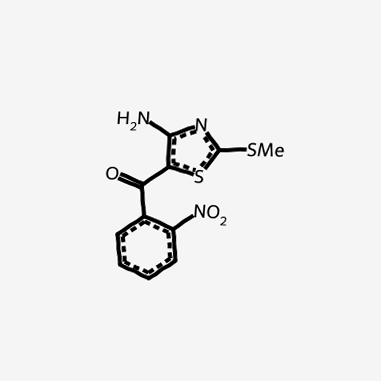 CSc1nc(N)c(C(=O)c2ccccc2[N+](=O)[O-])s1